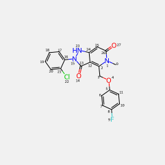 Cn1c(COc2ccc(F)cc2)c2c(=O)n(-c3ccccc3Cl)[nH]c2cc1=O